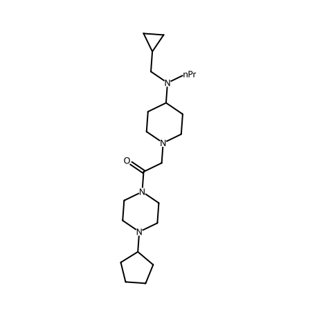 CCCN(CC1CC1)C1CCN(CC(=O)N2CCN(C3CCCC3)CC2)CC1